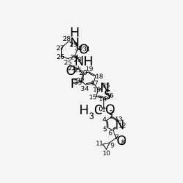 C[C@@H](Oc1ccc(C(=O)C2CC2)nc1)c1cc(-c2ccc(C(=O)N[C@H]3CCCCNC3=O)c(F)c2)ns1